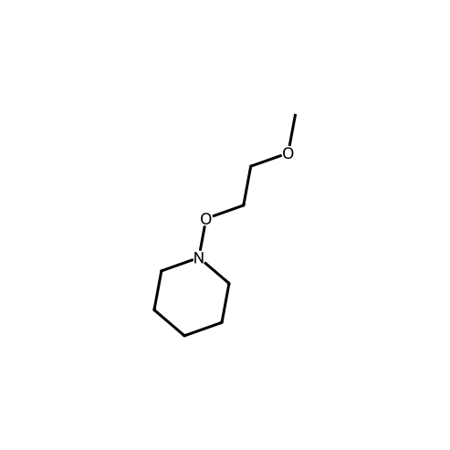 COCCON1CCCCC1